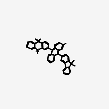 Cc1ccc2c(-c3ccc4c(c3)N(C)c3ccccc3C4(C)C)c3ccccc3c(-c3ccc4c(c3)-c3ccccc3C4(C)C)c2c1